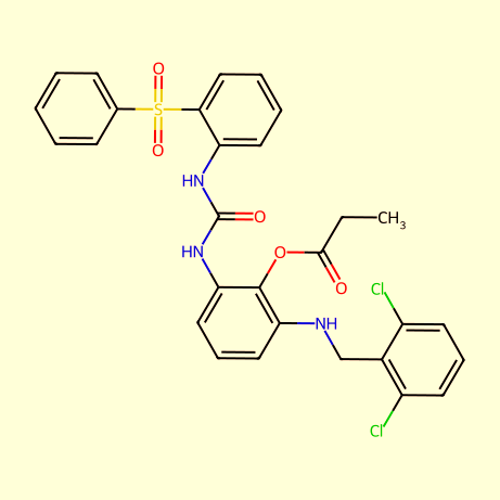 CCC(=O)Oc1c(NCc2c(Cl)cccc2Cl)cccc1NC(=O)Nc1ccccc1S(=O)(=O)c1ccccc1